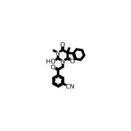 CN1C(=O)C(C)(C2=CCCCC2)C(=O)N(CC(=O)c2cccc(C#N)c2)C1O